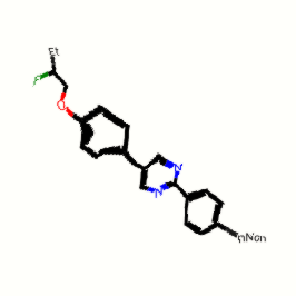 CCCCCCCCCc1ccc(-c2ncc(-c3ccc(OCC(F)CC)cc3)cn2)cc1